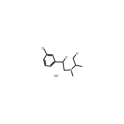 CC(CCl)N(C)CC(Cl)c1cccc(Cl)c1.Cl